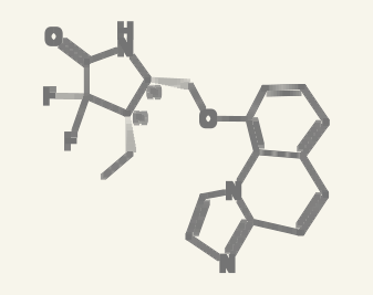 CC[C@H]1[C@@H](COc2cccc3ccc4nccn4c23)NC(=O)C1(F)F